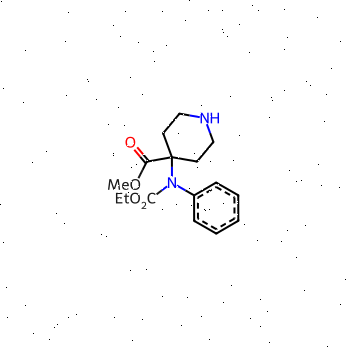 CCOC(=O)N(c1ccccc1)C1(C(=O)OC)CCNCC1